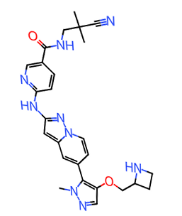 Cn1ncc(OCC2CCN2)c1-c1ccn2nc(Nc3ccc(C(=O)NCC(C)(C)C#N)cn3)cc2c1